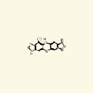 O=C(O)c1c2c(cc3[nH]nnc13)Oc1cc3nn[nH]c3cc1O2